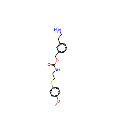 COc1ccc(SCCNC(=O)OCc2cccc(CCN)c2)cc1